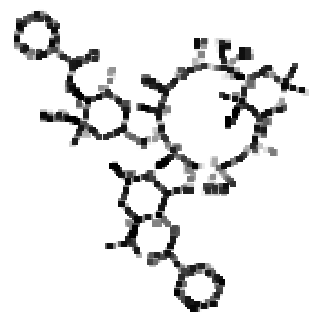 CC[C@H]1OC(=O)[C@H](C)[C@@H](OC2C[C@@](C)(OC)[C@@H](OC(=O)c3ccccc3)[C@H](C)O2)[C@H](C)[C@@H](OC2O[C@H](C)C[C@H](N(C)C)[C@H]2OC(=O)c2ccccc2)[C@@](C)(OC)C[C@@H](C)[C@@H]2OC(C)(C)O[C@H]([C@H]2C)[C@@]1(O)CC